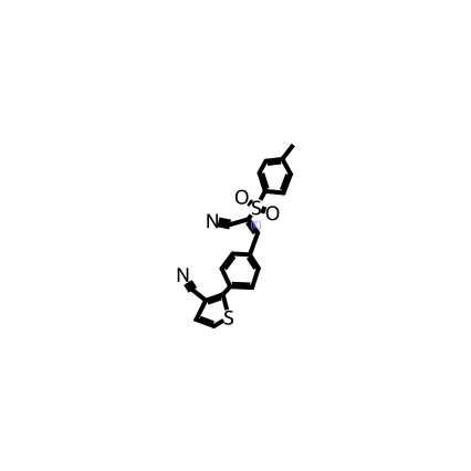 Cc1ccc(S(=O)(=O)/C(C#N)=C/c2ccc(-c3sccc3C#N)cc2)cc1